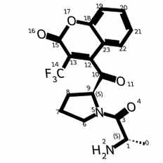 C[C@H](N)C(=O)N1CCC[C@H]1C(=O)c1c(C(F)(F)F)c(=O)oc2ccccc12